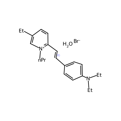 CCC[n+]1cc(CC)ccc1/C=C/c1ccc(N(CC)CC)cc1.O.[Br-]